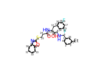 CCc1cccc(CNC[C@@H](O)[C@H](Cc2cc(F)cc(F)c2)NC(=O)CCSc2nc3ccccc3o2)c1